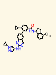 O=C(NC1CCc2c1cccc2C(F)(F)F)c1ccc(C2CC2)c(-c2ccc3nc(Nc4cnn(C5CC5)c4)ncc3c2)c1